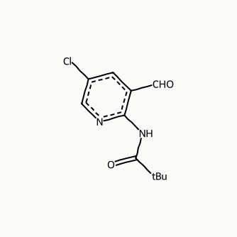 CC(C)(C)C(=O)Nc1ncc(Cl)cc1C=O